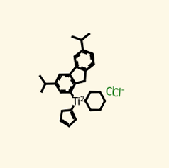 CC(C)c1ccc2c(c1)-c1cc(C(C)C)c[c]([Ti+2]([C]3=CC=CC3)=[C]3CCCCC3)c1C2.[Cl-].[Cl-]